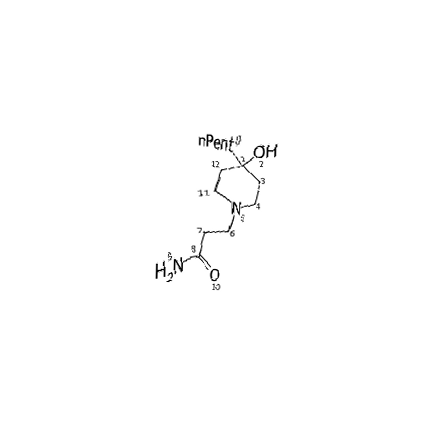 CCCCCC1(O)CCN(CCC(N)=O)CC1